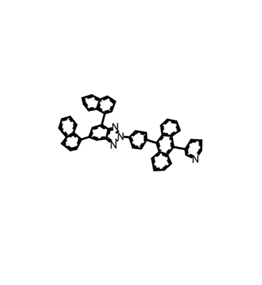 c1cncc(-c2c3ccccc3c(-c3ccc(-n4nc5cc(-c6cccc7ccccc67)cc(-c6cccc7ccccc67)c5n4)cc3)c3ccccc23)c1